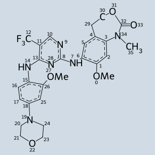 COc1cc2c(cc1Nc1ncc(C(F)(F)F)c(Nc3ccc(N4CCOCC4)cc3OC)n1)CCOC(=O)N2C